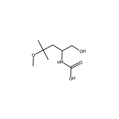 COC(C)(C)CC(CO)NC(=O)O